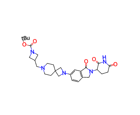 CC(C)(C)OC(=O)N1CC(CN2CCC3(CC2)CN(c2ccc4c(c2)C(=O)N(C2CCC(=O)NC2=O)C4)C3)C1